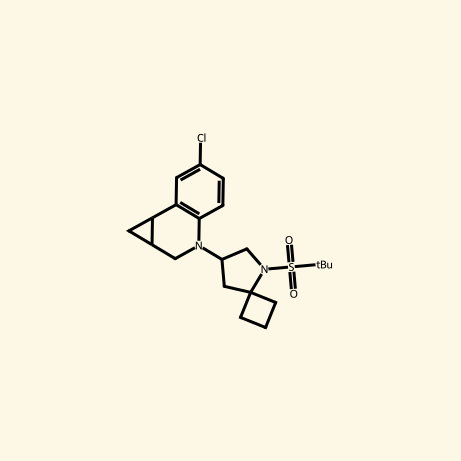 CC(C)(C)S(=O)(=O)N1CC(N2CC3CC3c3cc(Cl)ccc32)CC12CCC2